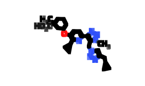 Cn1nnc(-c2ccc(O[C@H]3CCC[C@](C)(C(=O)O)C3)c(C3CC3)n2)c1Cn1cc(CC2CC2)nn1